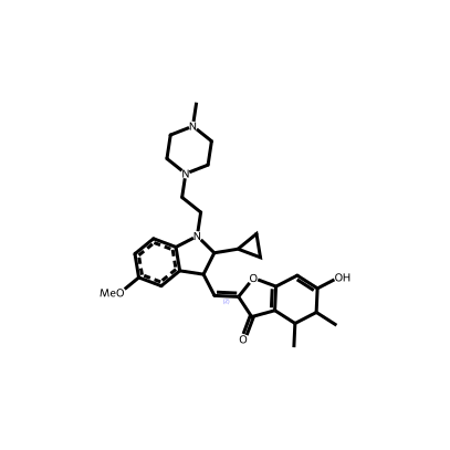 COc1ccc2c(c1)C(/C=C1\OC3=C(C1=O)C(C)C(C)C(O)=C3)C(C1CC1)N2CCN1CCN(C)CC1